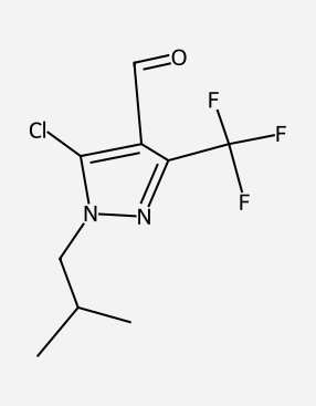 CC(C)Cn1nc(C(F)(F)F)c(C=O)c1Cl